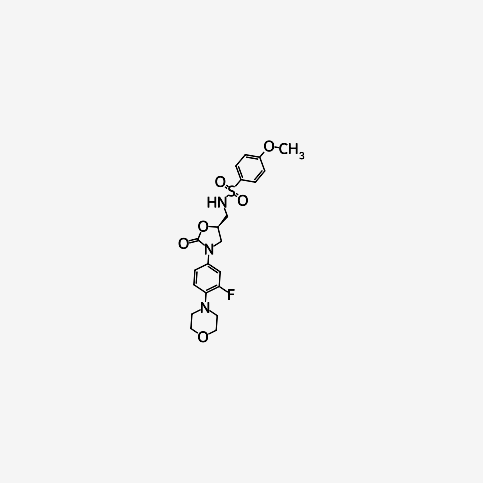 COc1ccc(S(=O)(=O)NC[C@H]2CN(c3ccc(N4CCOCC4)c(F)c3)C(=O)O2)cc1